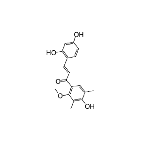 COc1c(C(=O)C=Cc2ccc(O)cc2O)cc(C)c(O)c1C